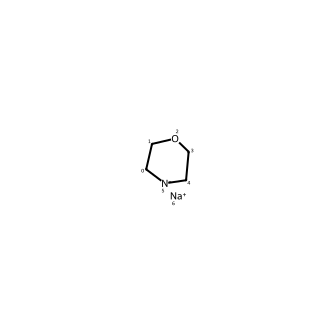 C1COCC[N-]1.[Na+]